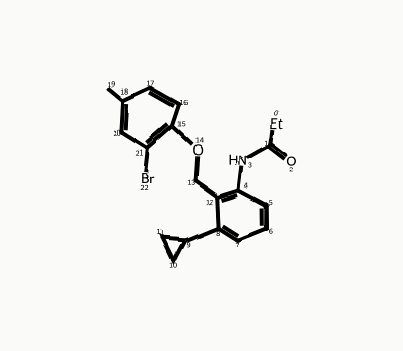 CCC(=O)Nc1cccc(C2CC2)c1COc1ccc(C)cc1Br